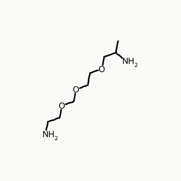 CC(N)COCCOCOCCN